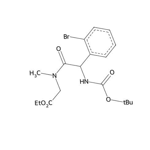 CCOC(=O)CN(C)C(=O)C(NC(=O)OC(C)(C)C)c1ccccc1Br